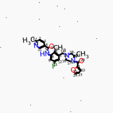 Cc1ccc(C(=O)Nc2cc(F)cc(CN3CCN(C(=O)c4ccco4)[C@@H](C)C3)c2C)cn1